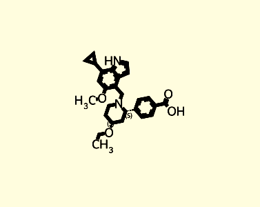 CCO[C@H]1CCN(Cc2c(OC)cc(C3CC3)c3[nH]ccc23)[C@H](c2ccc(C(=O)O)cc2)C1